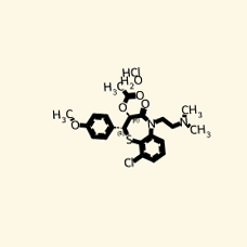 COc1ccc([C@H]2Sc3c(Cl)cccc3N(CCN(C)C)C(=O)[C@H]2OC(C)=O)cc1.Cl.O